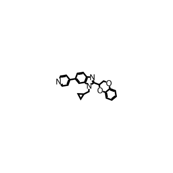 c1ccc2c(c1)OCC(c1nc3ccc(-c4ccncc4)cc3n1CC1CC1)O2